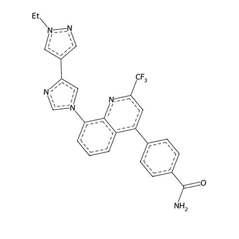 CCn1cc(-c2cn(-c3cccc4c(-c5ccc(C(N)=O)cc5)cc(C(F)(F)F)nc34)cn2)cn1